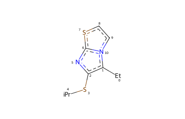 CCc1c(SC(C)C)nc2sccn12